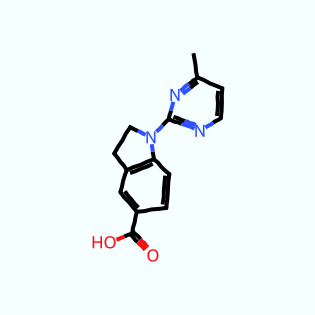 Cc1ccnc(N2CCc3cc(C(=O)O)ccc32)n1